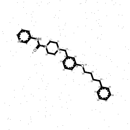 O=C(Nc1cccnc1)N1CCN(Cc2cccc(OCCCCc3ccccc3)c2)CC1